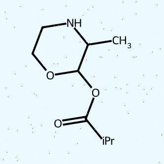 CC(C)C(=O)OC1OCCNC1C